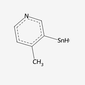 Cc1ccnc[c]1[SnH]